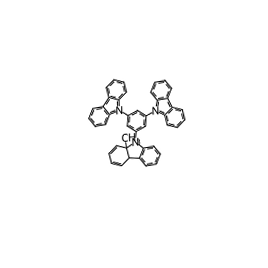 CC12C=CC=CC1c1ccccc1N2c1cc(-n2c3ccccc3c3ccccc32)cc(-n2c3ccccc3c3ccccc32)c1